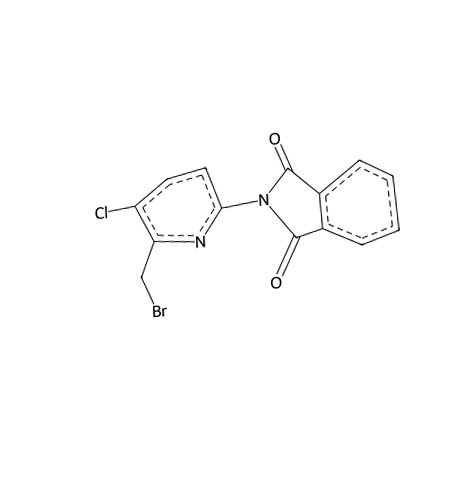 O=C1c2ccccc2C(=O)N1c1ccc(Cl)c(CBr)n1